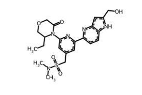 CCC1COCC(=O)N1c1cc(CS(=O)(=O)N(C)C)cc(-c2ccc3[nH]c(CO)cc3n2)n1